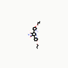 CCCCOc1ccc2c(c1)[nH]c1c3[nH]c4cc(OCCCC)ccc4c3c3c(c21)C(=O)N(C)C3=O